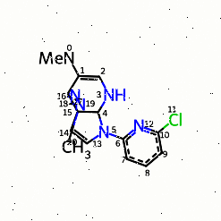 CNC1=CNC2N(c3cccc(Cl)n3)C=CC23C1=NCN3C